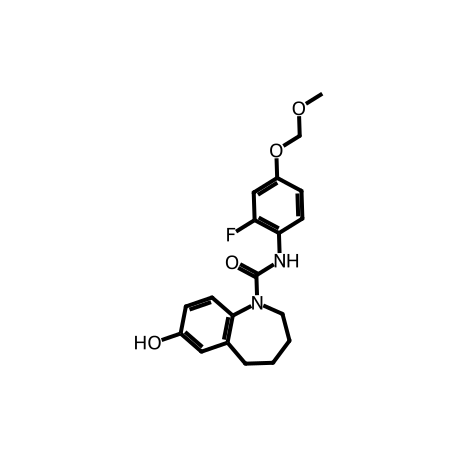 COCOc1ccc(NC(=O)N2CCCCc3cc(O)ccc32)c(F)c1